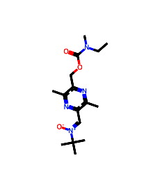 CCN(C)C(=O)OCc1nc(C)c(/C=[N+](\[O-])C(C)(C)C)nc1C